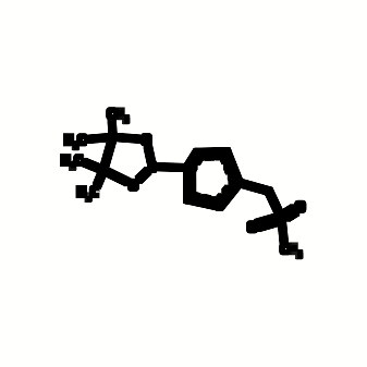 CC1(C)OB(c2ccc(CS(C)(=O)=O)cc2)OC1(C)C